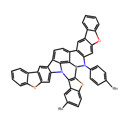 CC(C)(C)c1ccc(N2B3c4sc5ccc(C(C)(C)C)cc5c4-n4c5cc6sc7ccccc7c6cc5c5ccc(c3c54)-c3cc4c(cc32)oc2ccccc24)cc1